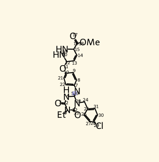 CCn1c(=O)[nH]/c(=N\c2ccc(OC3C=CC(C(=O)OC)NN3)cc2)n(Cc2ccc(Cl)cc2)c1=O